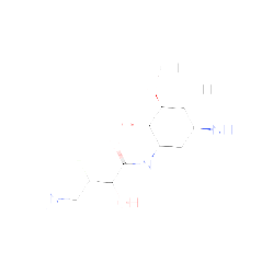 CO[C@H]1[C@H](C)[C@@H](N)C[C@@H](NC(=O)C(O)C(F)CN)[C@@H]1O